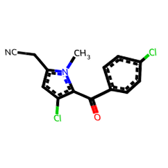 Cn1c(CC#N)cc(Cl)c1C(=O)c1ccc(Cl)cc1